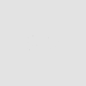 CCc1cccc(COCC2COC2)c1